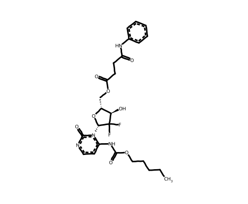 CCCCCOC(=O)Nc1ccnc(=O)n1[C@@H]1O[C@H](COC(=O)CCC(=O)Nc2ccccc2)[C@@H](O)C1(F)F